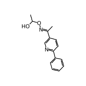 CC(=NOC(C)O)c1ccc(-c2ccccc2)nc1